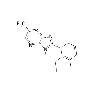 CC1=C(CI)C(c2nc3cc(C(F)(F)F)cnc3n2C)CC=C1